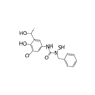 CC(O)c1cc(NC(=O)N(S)Cc2ccccc2)cc(Cl)c1O